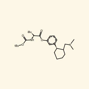 CC[C@H](C)[C@H](NC(=O)OC(C)(C)C)C(=O)Oc1cccc([C@@H]2CCCCC2CN(C)C)c1